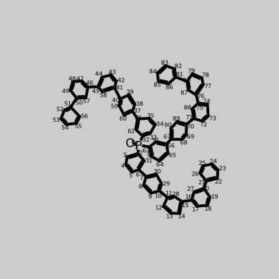 O=P(c1cccc(-c2ccc(-c3cccc(-c4cccc(-c5ccccc5)c4)c3)cc2)c1)(c1cccc(-c2ccc(-c3cccc(-c4cccc(-c5ccccc5)c4)c3)cc2)c1)c1cccc(-c2ccc(-c3cccc(-c4cccc(-c5ccccc5)c4)c3)cc2)c1